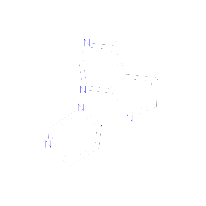 c1cncnc1.c1ncc2scnc2n1